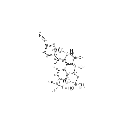 Cc1[nH]c(=O)c(C(=O)N(CC(C)(C)O)c2cccc(C(F)(F)F)c2)cc1[S+]([O-])c1ccc(C#N)cc1